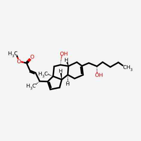 CCCC[C@H](O)CC1=CC[C@@H]2[C@@H](C1)[C@@H](O)C[C@]1(C)C([C@H](C)/C=C/C(=O)OC)=CC[C@@H]21